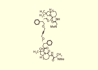 CNCC(=O)N[C@H]1CCS[C@H]2CC(C)(C)[C@@H](C(=O)C[C@H](COCC#CCOC[C@@H](CC(=O)[C@H]3N4C(=O)[C@@H](NC(=O)[C@H](C)NC)CCS[C@H]4CC3(C)C)c3ccccc3)c3ccccc3)N2C1=O